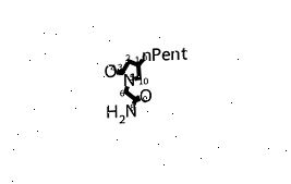 CCCCCC1CC(=O)N(CC(N)=O)C1